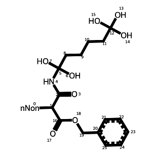 CCCCCCCCCC(C(=O)NC(O)(O)CCCCC(O)(O)O)C(=O)OCc1ccccc1